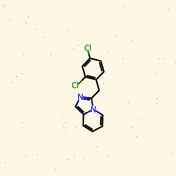 Clc1ccc(Cc2ncc3ccccn23)c(Cl)c1